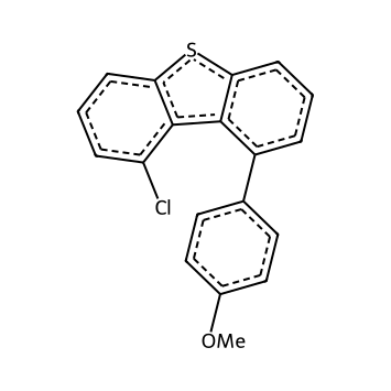 COc1ccc(-c2cccc3sc4cccc(Cl)c4c23)cc1